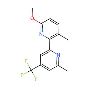 COc1ccc(C)c(-c2cc(C(F)(F)F)cc(C)n2)n1